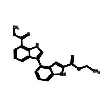 CCOC(=O)c1[c]c2c(-c3c[nH]c4c(C(=O)OC)cccc34)cccc2[nH]1